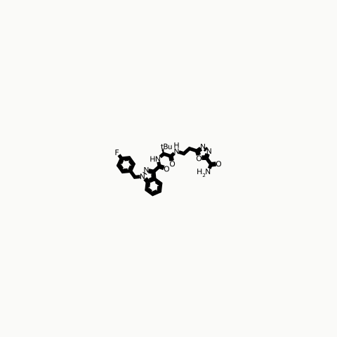 CC(C)(C)[C@H](NC(=O)c1nn(Cc2ccc(F)cc2)c2ccccc12)C(=O)NCCc1nnc(C(N)=O)o1